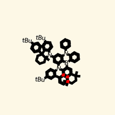 CC(C)(C)c1ccc(C23CCCCC2(C)N(c2cc4c5c(c2)N(c2ccc(C(C)(C)C)cc2-c2ccccc2)c2cc6c(cc2B5c2ccccc2N4c2ccccc2)C(C)(C)CCC6(C)C)c2ccc(C(C)(C)C)cc23)cc1